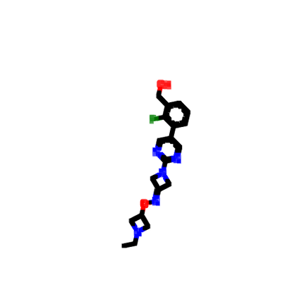 CCN1CC(ON=C2CN(c3ncc(-c4cccc(CO)c4F)cn3)C2)C1